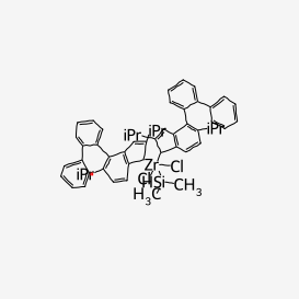 CC(C)C1=Cc2c(ccc(C(C)C)c2-c2ccccc2-c2ccccc2)[CH]1[Zr]([Cl])([Cl])([CH]1C(C(C)C)=Cc2c1ccc(C(C)C)c2-c1ccccc1-c1ccccc1)[SiH](C)C